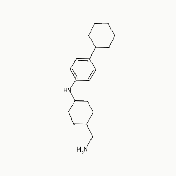 NCC1CCC(Nc2ccc(C3CCCCC3)cc2)CC1